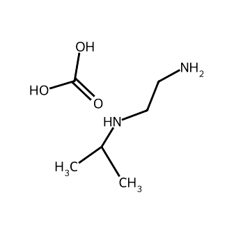 CC(C)NCCN.O=C(O)O